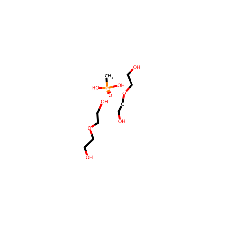 CP(=O)(O)O.OCCOCCO.OCCOCCO